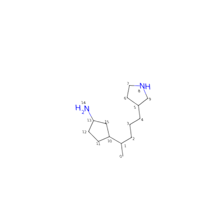 CC(CCCC1CCNC1)C1CCC(N)C1